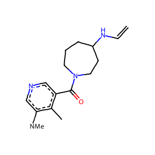 C=CNC1CCCN(C(=O)c2cncc(NC)c2C)CC1